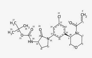 C=CC(=O)N1CCOC[C@H]1c1cc(Cl)cc(N2CCC(NC(=O)OC(C)(C)C)C2=O)c1